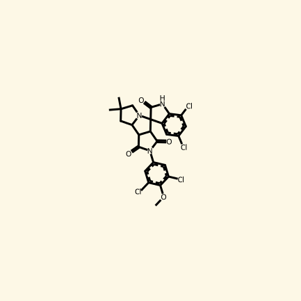 COc1c(Cl)cc(N2C(=O)C3C4CC(C)(C)CN4C4(C(=O)Nc5c(Cl)cc(Cl)cc54)C3C2=O)cc1Cl